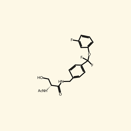 CC(=O)N[C@H](CO)C(=O)NCc1ccc(C(F)(F)Oc2cccc(F)c2)cc1